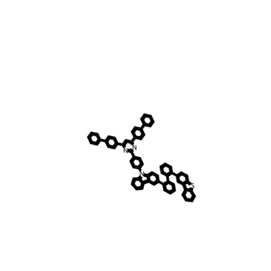 c1ccc(-c2ccc(-c3cc(-c4ccc(-c5ccccc5)cc4)nc(-c4ccc(-n5c6ccccc6c6cc(-c7ccccc7-c7ccccc7-c7ccc8sc9ccccc9c8c7)ccc65)cc4)n3)cc2)cc1